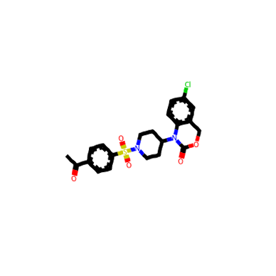 CC(=O)c1ccc(S(=O)(=O)N2CCC(N3C(=O)OCc4cc(Cl)ccc43)CC2)cc1